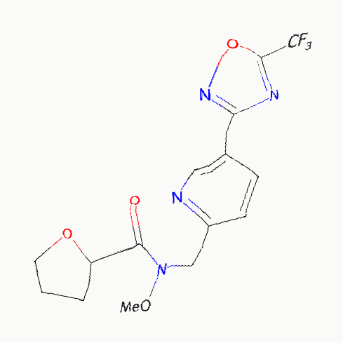 CON(Cc1ccc(-c2noc(C(F)(F)F)n2)cn1)C(=O)C1CCCO1